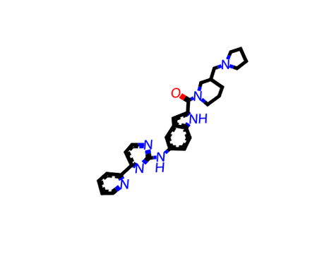 O=C(c1cc2cc(Nc3nccc(-c4ccccn4)n3)ccc2[nH]1)N1CCCC(CN2CCCC2)C1